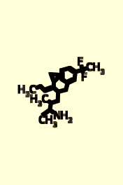 CC/C=C(\C1CC1)C(Cc1cccc(C(C)(F)F)c1)CC(C)C(N)CC